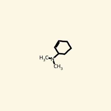 CN(C)C1C=CCCC1